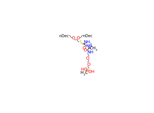 C=P(O)(O)CCOCCOCCNC(=O)[C@H](C)NC(=O)[C@@H](N)CSCC(COCCCCCCCCCCCC)OCCCCCCCCCCCC